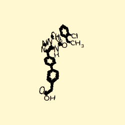 CC(OC(=O)Nc1c(-c2ccc(-c3ccc(CC(=O)O)cc3)cc2)nnn1C)c1ccccc1Cl